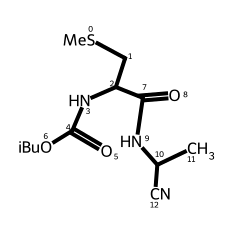 CSCC(NC(=O)OCC(C)C)C(=O)NC(C)C#N